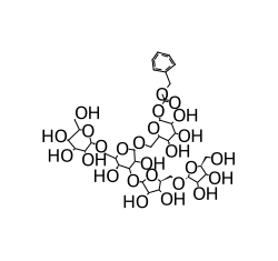 O=C(OCc1ccccc1)O[C@@H]1OC(CO[C@@H]2OC(CO[C@@H]3OC(CO)[C@H](O)C(O)C3O)[C@H](O)C(O[C@H]3O[C@@H](CO[C@@H]4O[C@@H](CO)C(O)C4O)C(O)C3O)C2O)[C@H](O)C(O)C1O